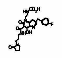 O=C(O)NCCn1c(=O)c(C(=O)NCCCN2CCCC2=O)c(O)c2ncc(Cc3ccc(F)cc3)cc21